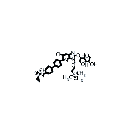 C[Si](C)(C)CCOCn1c(O[C@@H]2CO[C@H]3[C@@H]2OC[C@H]3O)nc2cc(Cl)c(-c3ccc(-c4ccc(N=S(C)(=O)C5CC5)cc4)cc3)nc21